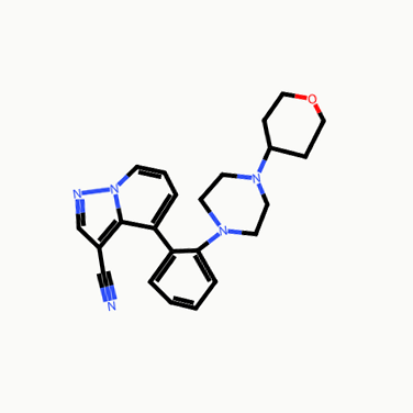 N#Cc1cnn2cccc(-c3ccccc3N3CCN(C4CCOCC4)CC3)c12